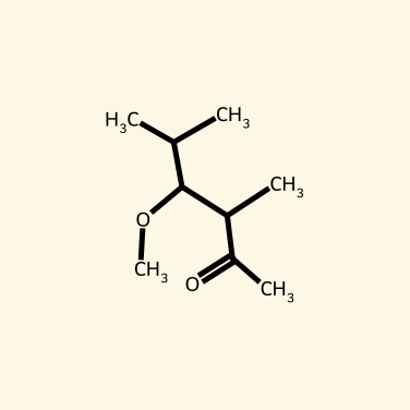 COC(C(C)C)C(C)C(C)=O